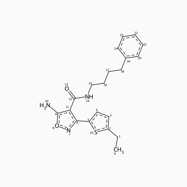 CCc1ccc(-c2noc(N)c2C(=O)NCCCCc2ccccc2)s1